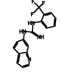 N=C(Nc1ccc2cccnc2c1)Nc1ccccc1C(F)(F)F